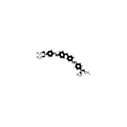 CCN(CC)c1ccc(/N=N/c2ccc(Cc3ccc(/N=N/c4ccc(N(CC)CC)cc4)cc3)cc2)cc1